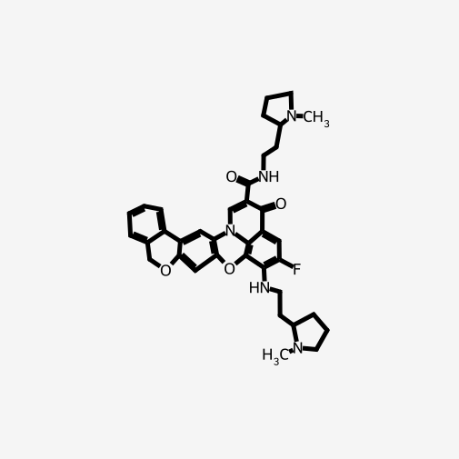 CN1CCCC1CCNC(=O)c1cn2c3c(c(NCCC4CCCN4C)c(F)cc3c1=O)Oc1cc3c(cc1-2)-c1ccccc1CO3